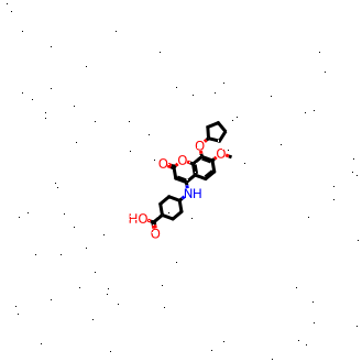 COc1ccc2c(NC3CCC(C(=O)O)CC3)cc(=O)oc2c1OC1CCCC1